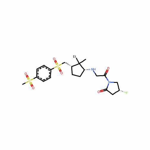 CCC1(C)[C@@H](CS(=O)(=O)c2ccc(S(C)(=O)=O)cc2)CC[C@H]1NCC(=O)N1C[C@H](F)CC1=O